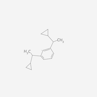 CC(c1[c]c(C(C)C2CC2)ccc1)C1CC1